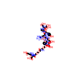 CC(C)C[C@H](NC(=O)[C@H](Cc1ccc(O)cc1)NC(=O)[C@@H](CCCNC(=N)N)NC(=O)[C@@H](CO)NC(=O)[C@H](CCC(=O)O)NC(=O)[C@H](CC1CCCCC1)NC(=O)[C@H](CC(=O)O)NC(=O)COCCOCCNC(=O)COCCOCCNC(=O)[C@H](CCC(=O)O)NC(=O)[C@@H](N)CCC(=O)O)C(=O)N[C@@H](CCC(=O)O)C(=O)N[C@@H](CO)C(=O)O